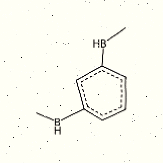 CBc1cccc(BC)c1